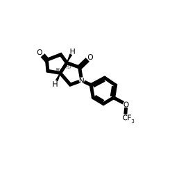 O=C1C[C@H]2CN(c3ccc(OC(F)(F)F)cc3)C(=O)[C@H]2C1